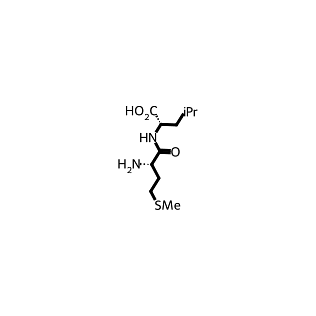 CSCC[C@H](N)C(=O)N[C@@H](CC(C)C)C(=O)O